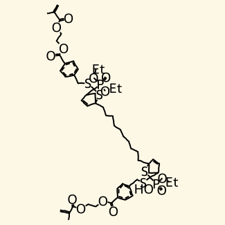 C=C(C)C(=O)OCCOC(=O)c1ccc(CSC2(P(=O)(O)OCC)SC3(CCCCCCCCCCC45C=CC(C4)C(SCc4ccc(C(=O)OCCOC(=O)C(=C)C)cc4)(P(=O)(OCC)OCC)S5)C=CC2C3)cc1